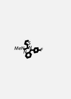 CNC1=Nc2ccccc2C(c2ccc(F)cc2)=NC1c1cccs1